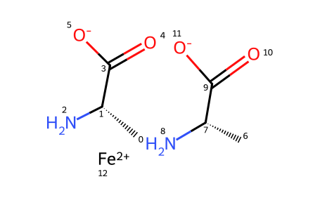 C[C@H](N)C(=O)[O-].C[C@H](N)C(=O)[O-].[Fe+2]